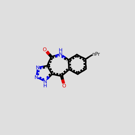 CCCc1ccc2c(=O)c3[nH]nnc3c(=O)[nH]c2c1